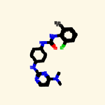 CN(C)c1ccnc(NC2CCC(NC(=O)Nc3c(Cl)cccc3C(F)(F)F)CC2)n1